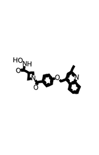 Cc1cc(COc2ccc(C(=O)N3CC(C(=O)NO)C3)cc2)c2ccccc2n1